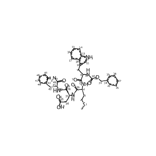 CSCCC(NC(=O)C(Cc1c[nH]c2ccccc12)NC(=O)OCc1ccccc1)C(=O)NC(CC(=O)O)C(=O)NC(Cc1ccccc1)C(N)=O